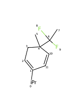 CC(C)C1=CCC(C)(C(C)(F)F)C=C1